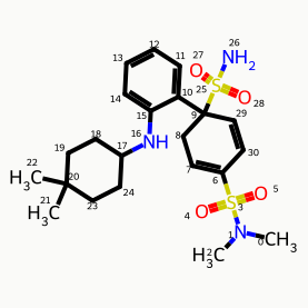 CN(C)S(=O)(=O)C1=CCC(c2ccccc2NC2CCC(C)(C)CC2)(S(N)(=O)=O)C=C1